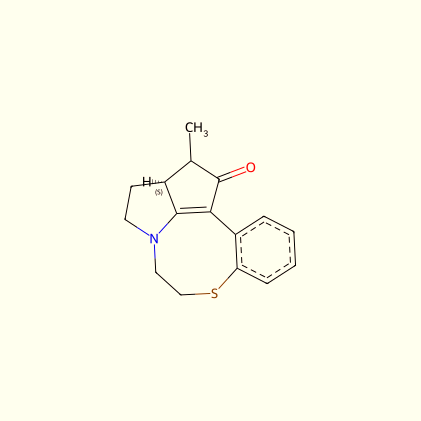 CC1C(=O)C2=C3[C@H]1CCN3CCSc1ccccc12